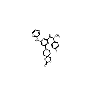 C[C@H](Nc1nc(Nc2cnccn2)cc(N2CCC3(CC2)COC(=O)O3)n1)c1ccc(F)cc1